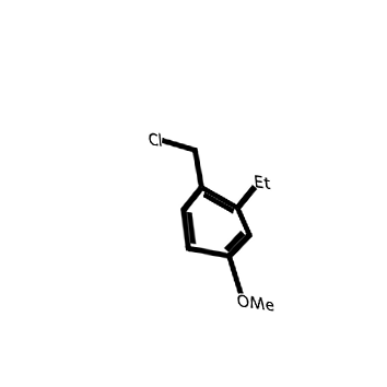 CCc1cc(OC)ccc1CCl